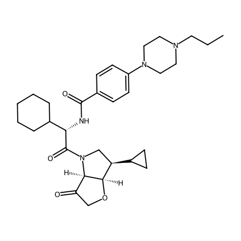 CCCN1CCN(c2ccc(C(=O)N[C@H](C(=O)N3C[C@@H](C4CC4)[C@H]4OCC(=O)[C@H]43)C3CCCCC3)cc2)CC1